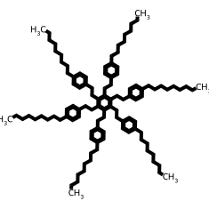 CCCCCCCCCc1ccc(CCc2c(CCc3ccc(CCCCCCCCC)cc3)c(CCc3ccc(CCCCCCCCC)cc3)c(CCc3ccc(CCCCCCCCC)cc3)c(CCc3ccc(CCCCCCCCC)cc3)c2CCc2ccc(CCCCCCCCC)cc2)cc1